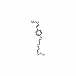 CO[C]=Cc1[c]cc(OCCOCCOC)cc1